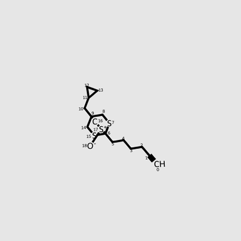 C#CCCCCC12SCC(CC3CC3)(CS1)C[S+]2[O-]